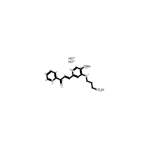 CCOC(=O)CCCOc1cc(/C=C/C(=O)c2ccccn2)ncc1OC.Cl.Cl